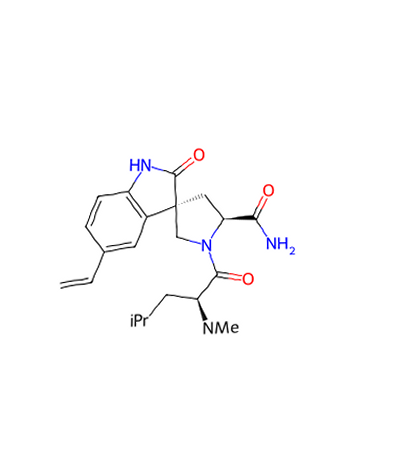 C=Cc1ccc2c(c1)[C@@]1(C[C@@H](C(N)=O)N(C(=O)[C@H](CC(C)C)NC)C1)C(=O)N2